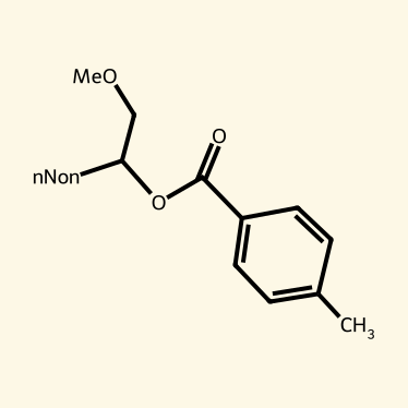 CCCCCCCCCC(COC)OC(=O)c1ccc(C)cc1